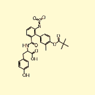 Cc1cc(-c2c(N=S(=O)=O)cccc2C(=O)NC(Cc2ccc(O)cc2)C(=O)O)ccc1OC(=O)C(C)(C)C